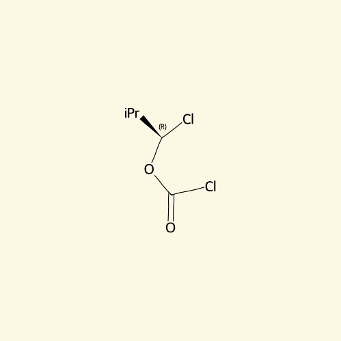 CC(C)[C@@H](Cl)OC(=O)Cl